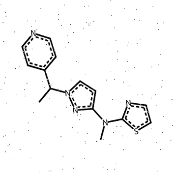 CC(c1ccncc1)n1ccc(N(C)c2nccs2)n1